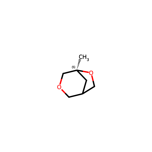 C[C@]12COCC(CO1)C2